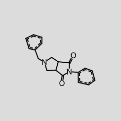 O=C1C2CN(Cc3ccccc3)CC2C(=O)N1c1ccccc1